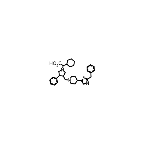 O=C(O)C(C1CCCCC1)N1CC(CN2CCC(c3cnc(Cc4ccccc4)s3)CC2)C(c2ccccc2)C1